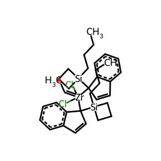 C[CH]=[Zr]([Cl])([Cl])([C]1([Si]2(CCCC)CCC2)C=Cc2ccccc21)[C]1([Si]2(CCCC)CCC2)C=Cc2ccccc21